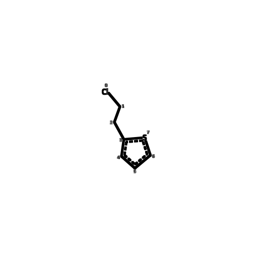 ClCCc1cccs1